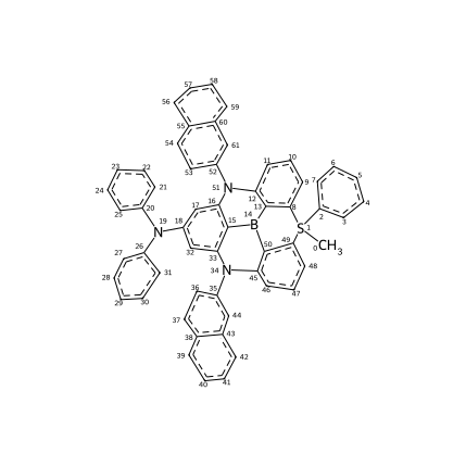 CS1(c2ccccc2)c2cccc3c2B2c4c(cc(N(c5ccccc5)c5ccccc5)cc4N(c4ccc5ccccc5c4)c4cccc1c42)N3c1ccc2ccccc2c1